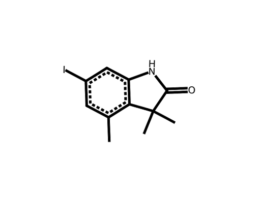 Cc1cc(I)cc2c1C(C)(C)C(=O)N2